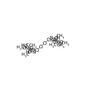 COC(=O)N[C@H](C(=O)N1C[C@@H](C)C[C@H]1c1nc2ccc(-c3ccc(-c4ccc(-c5ccc6nc([C@@H]7C[C@H](C)CN7C(=O)[C@@H](NC(=O)OC)C(C)C)[nH]c6c5)cc4)cc3)cc2[nH]1)C(C)C